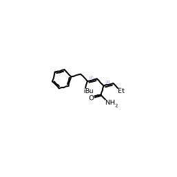 CC/C=C(/C=C(/Cc1ccccc1)C(C)CC)C(N)=O